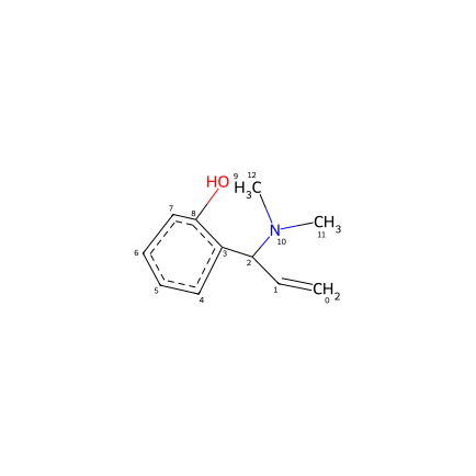 C=CC(c1ccccc1O)N(C)C